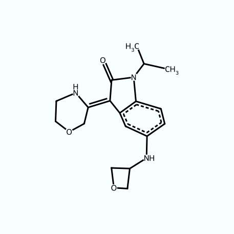 CC(C)N1C(=O)/C(=C2/COCCN2)c2cc(NC3COC3)ccc21